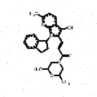 Cc1ccc2c(C#N)c(/C=C/C(=O)N3CC(C)OC(C)C3)n(C3CCc4ccccc43)c2n1